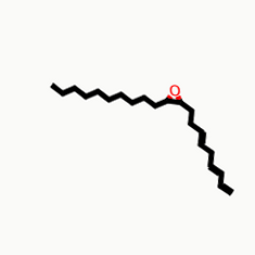 C=CC=CCC=CCCC1OC1CCCCCCCCCC